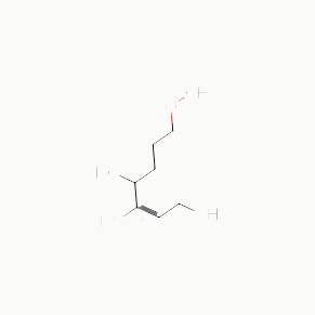 CC/C=C(/S)C(C)CCCOC